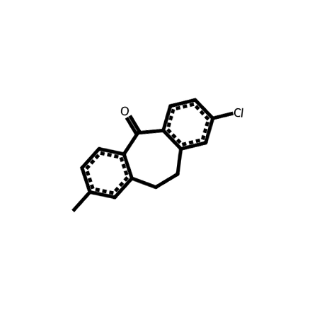 Cc1ccc2c(c1)CCc1cc(Cl)ccc1C2=O